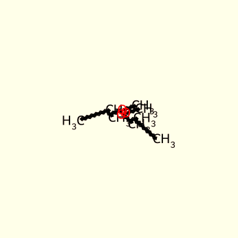 CCCCCCCCCCCCC(C)CC(C)CCCC(OCCCCCC)OC(CCCC(C)CC(C)CCCCCCCCCCCC)OCCCCCC